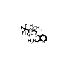 CC(C)(CSc1cccnc1CN)NC(=O)C(F)(F)F